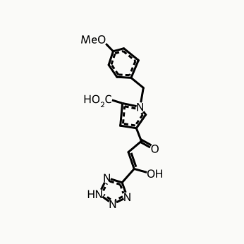 COc1ccc(Cn2cc(C(=O)C=C(O)c3nn[nH]n3)cc2C(=O)O)cc1